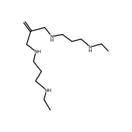 C=C(CNCCCNCC)CNCCCNCC